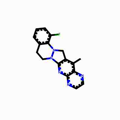 Cc1c2c(nc3nccnc13)N1CCc3cccc(F)c3N1C2